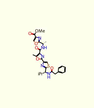 COC(=O)c1coc([C@H](C)NC(=O)c2nc(-c3csc([C@@H](NC(=O)Cc4ccccc4)C(C)C)n3)oc2C)n1